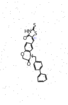 O=C1NC(=S)S/C1=C/c1ccc2c(c1)N(Cc1ccc(-c3ccccc3)cc1)C(=O)CO2